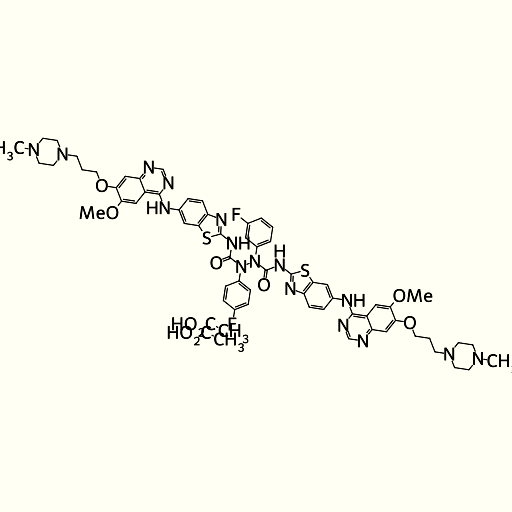 CC(=O)O.CC(=O)O.COc1cc2c(Nc3ccc4nc(NC(=O)N(c5ccc(F)cc5)N(C(=O)Nc5nc6ccc(Nc7ncnc8cc(OCCCN9CCN(C)CC9)c(OC)cc78)cc6s5)c5cccc(F)c5)sc4c3)ncnc2cc1OCCCN1CCN(C)CC1